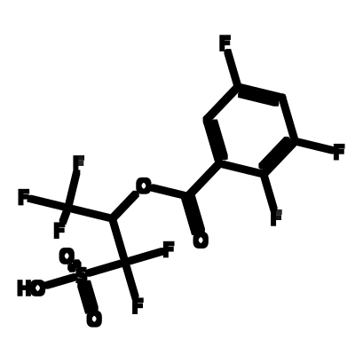 O=C(OC(C(F)(F)F)C(F)(F)S(=O)(=O)O)c1cc(F)cc(F)c1F